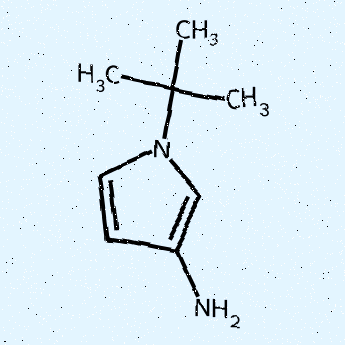 CC(C)(C)n1ccc(N)c1